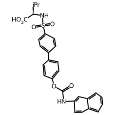 CC(C)[C@@H](NS(=O)(=O)c1ccc(-c2ccc(OC(=O)Nc3ccc4ccccc4c3)cc2)cc1)C(=O)O